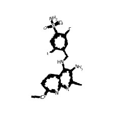 COc1ccc2c(NCc3cc(F)c(S(N)(=O)=O)cc3F)c(N)c(C)nc2n1